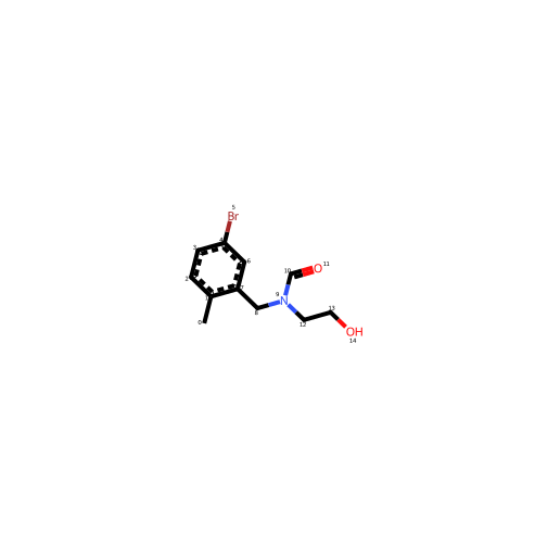 Cc1ccc(Br)cc1CN(C=O)CCO